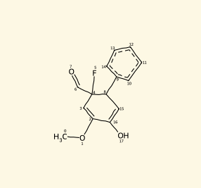 COC1=CC(F)(C=O)C(c2ccccc2)C=C1O